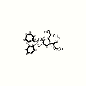 C[C@@H](O)[C@H]1C[C@@H](O[Si](c2ccccc2)(c2ccccc2)C(C)(C)C)CN1C(=O)OC(C)(C)C